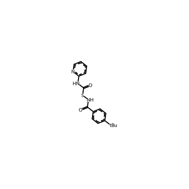 CC(C)(C)c1ccc(C(=O)NSC(=O)Nc2ccccn2)cc1